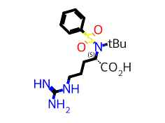 CC(C)(C)N([C@@H](CCCNC(=N)N)C(=O)O)S(=O)(=O)c1ccccc1